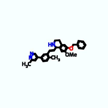 COc1cc2c(cc1OCc1ccccc1)CCNC2/C=C/c1cc(-c2cnnc(C)c2)ccc1C